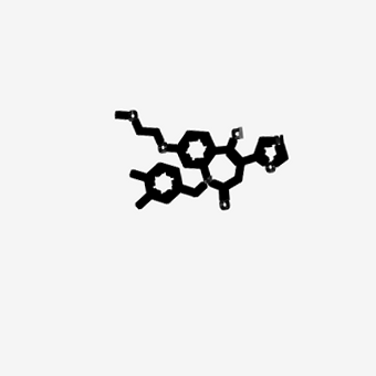 COCCOc1ccc2c(c1)N(Cc1ccc(C)c(C)c1)C(=O)CC(c1cnco1)=C2Cl